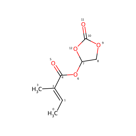 CC=C(C)C(=O)OC1COC(=O)O1